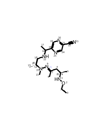 CCON[C@H](C)C/C(C)=N/N(C)[C@H](C)CNC(C)c1cnc(C#N)cn1